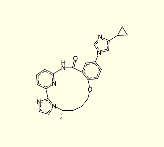 C[C@H]1CCCOc2ccc(-n3cnc(C4CC4)c3)cc2C(=O)Nc2cccc(n2)-c2nccn21